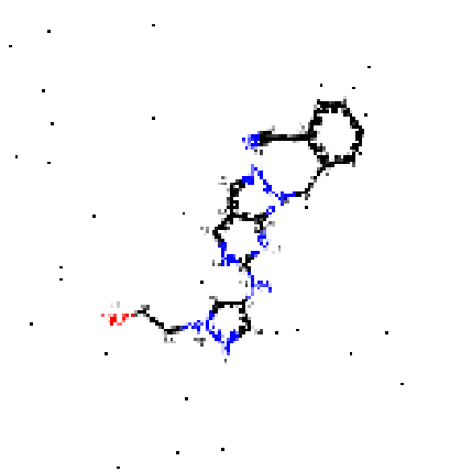 N#Cc1ccccc1Cn1ncc2cnc(Nc3cnn(CCO)c3)nc21